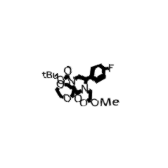 COC(=O)CN1C(=O)C2(COCCOC2)N(C(=O)OC(C)(C)C)CC1c1ccc(F)cc1